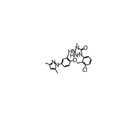 Cc1cc(C)n(-c2ccc(OCc3c(Cl)cccc3N3NNN(C)C3=O)c(C)c2)n1